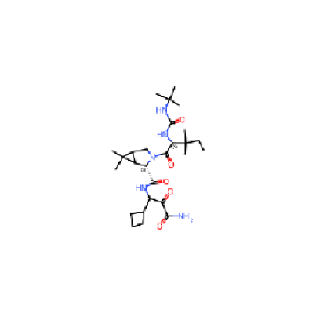 CCC(C)(C)[C@H](NC(=O)NC(C)(C)C)C(=O)N1CC2C([C@H]1C(=O)NC(C(=O)C(N)=O)C1CCC1)C2(C)C